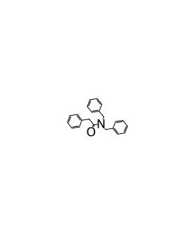 O=C(Cc1ccccc1)N(Cc1ccccc1)Cc1ccccc1